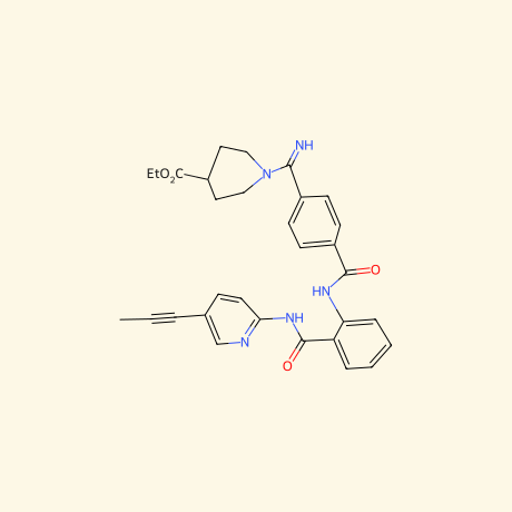 CC#Cc1ccc(NC(=O)c2ccccc2NC(=O)c2ccc(C(=N)N3CCC(C(=O)OCC)CC3)cc2)nc1